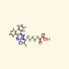 CC1N=C(c2ccccc2)C(c2ccccc2)=NN1CCCCCCC(=O)C(=O)O